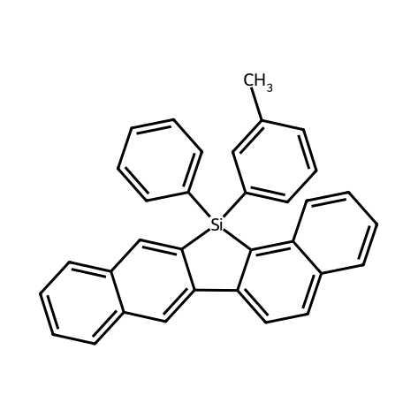 Cc1cccc([Si]2(c3ccccc3)c3cc4ccccc4cc3-c3ccc4ccccc4c32)c1